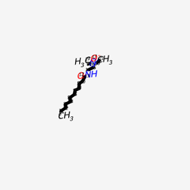 CCCCCCCCCCCC(=O)NCC[N+]([O-])(CC)CC